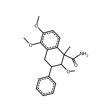 COc1ccc2c(c1OC)CC(c1ccccc1)C(OC)C2(C)C(N)=O